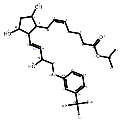 CC(C)OC(=O)CCC/C=C\CC1C(O)CC(O)C1/C=C/C(O)COc1cccc(C(F)(F)F)c1